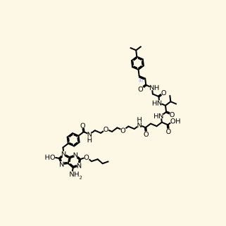 CCCCOc1nc(N)c2nc(O)n(Cc3ccc(C(=O)NCCOCCOCCNC(=O)CCC(NC(=O)C(NC(=O)CNC(=O)/C=C/c4ccc(C(C)C)cc4)C(C)C)C(=O)O)cc3)c2n1